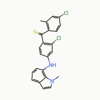 Cc1cc(Cl)ccc1C(=S)c1ccc(Nc2cccc3ccn(C)c23)cc1Cl